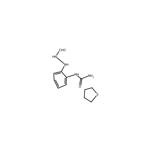 C1CCSC1.NC(=O)Nc1ccccc1NNC=O